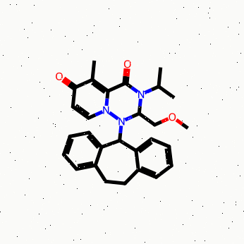 COCC1N(C(C)C)C(=O)c2c(C)c(=O)ccn2N1C1c2ccccc2CCc2ccccc21